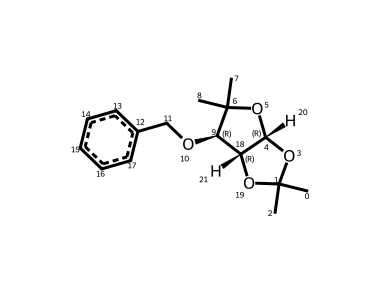 CC1(C)O[C@H]2OC(C)(C)[C@H](OCc3ccccc3)[C@H]2O1